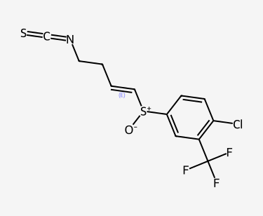 [O-][S+](/C=C/CCN=C=S)c1ccc(Cl)c(C(F)(F)F)c1